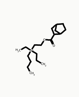 CCCC[N+](CC)(CCC)CCOC(=O)C1CC2CCC1C2